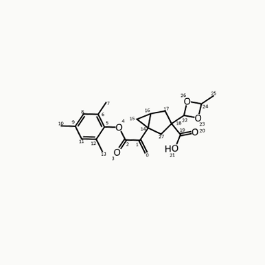 C=C(C(=O)Oc1c(C)cc(C)cc1C)C12CC1CC(C(=O)O)(C1OC(C)O1)C2